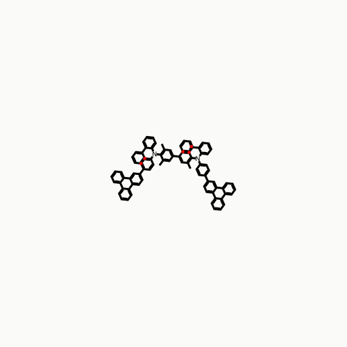 Cc1cc(-c2cc(C)c(N(c3ccc(-c4ccc5c6ccccc6c6ccccc6c5c4)cc3)c3ccccc3-c3ccccc3)c(C)c2)cc(C)c1N(c1ccc(-c2ccc3c4ccccc4c4ccccc4c3c2)cc1)c1ccccc1-c1ccccc1